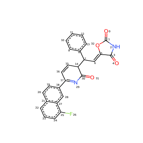 O=C1NC(=O)C(=CC(c2ccccc2)C2C=CC(c3ccc4cccc(F)c4c3)=NC2=O)O1